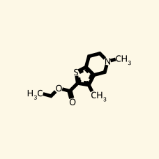 CCOC(=O)c1sc2c(c1C)CN(C)CC2